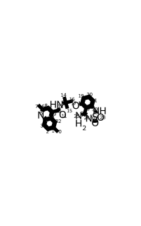 Cc1ccc2nc(C)cc(C(=O)NC(C)(C)COc3cccc4c3C(N)=NS(=O)(=O)N4)c2c1